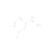 CC(C)(C)Nc1cc(F)ccn1